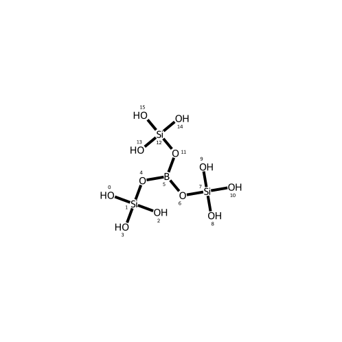 O[Si](O)(O)OB(O[Si](O)(O)O)O[Si](O)(O)O